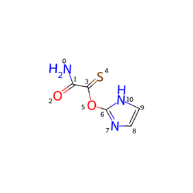 NC(=O)C(=S)Oc1ncc[nH]1